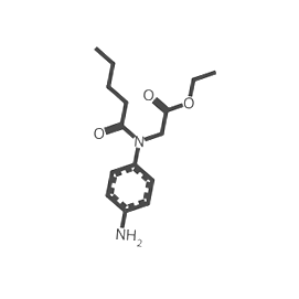 CCCCC(=O)N(CC(=O)OCC)c1ccc(N)cc1